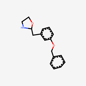 c1ccc(COc2cccc(CC3NCCO3)c2)cc1